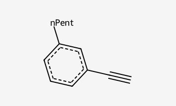 C#Cc1cccc(CCCCC)c1